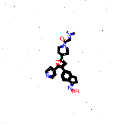 CN(C)CC(=O)N1CCC(c2cc(-c3ccc4c(c3)CCC4=NO)c(-c3ccncc3)o2)CC1